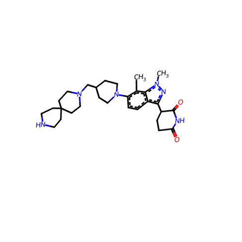 Cc1c(N2CCC(CN3CCC4(CCNCC4)CC3)CC2)ccc2c(C3CCC(=O)NC3=O)nn(C)c12